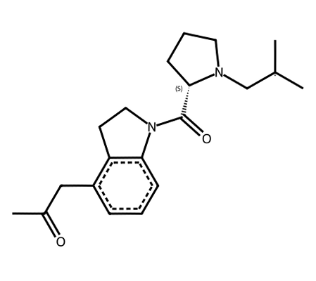 C[C](C)CN1CCC[C@H]1C(=O)N1CCc2c(CC(C)=O)cccc21